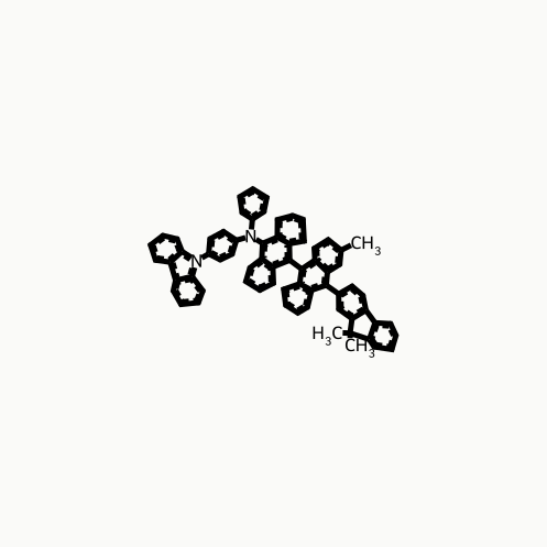 Cc1ccc2c(-c3c4ccccc4c(N(c4ccccc4)c4ccc(-n5c6ccccc6c6ccccc65)cc4)c4ccccc34)c3ccccc3c(-c3ccc4c(c3)C(C)(C)c3ccccc3-4)c2c1